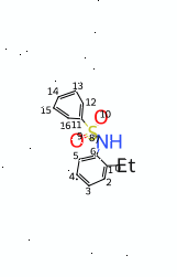 CCc1cc[c]cc1NS(=O)(=O)c1ccccc1